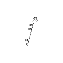 COCNCCCCCNCNCCC(=O)O